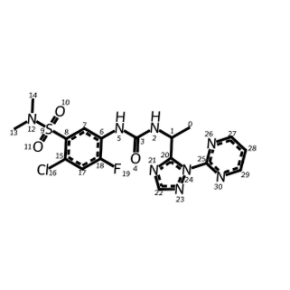 CC(NC(=O)Nc1cc(S(=O)(=O)N(C)C)c(Cl)cc1F)c1ncnn1-c1ncccn1